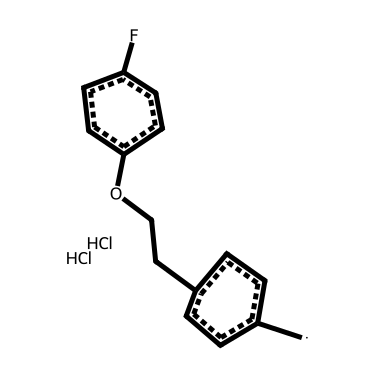 Cl.Cl.[CH2]c1ccc(CCOc2ccc(F)cc2)cc1